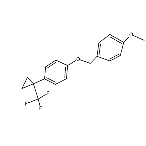 COc1ccc(COc2ccc(C3(C(F)(F)F)CC3)cc2)cc1